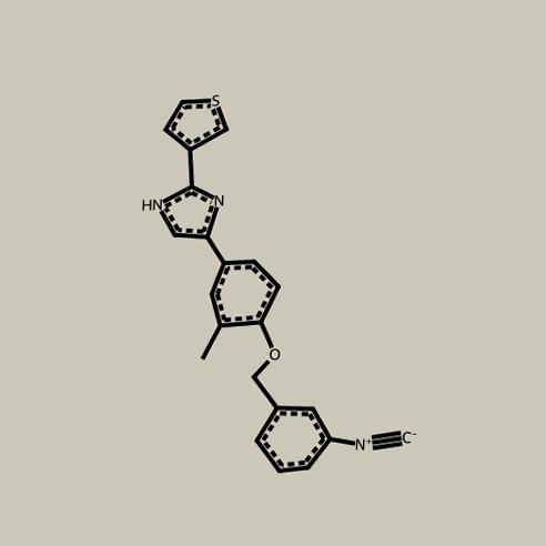 [C-]#[N+]c1cccc(COc2ccc(-c3c[nH]c(-c4ccsc4)n3)cc2C)c1